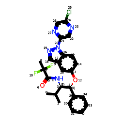 CC(C)[C@H](NC(=O)C(C)(F)F)[C@H](Oc1ccc2c(cnn2-c2cnc(Cl)cn2)c1)c1ccccc1